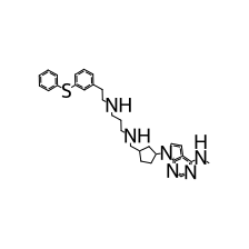 CNc1ncnc2c1ccn2C1CCC(CNCCCNCCc2cccc(Sc3ccccc3)c2)C1